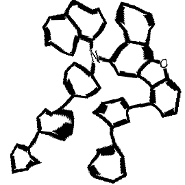 c1ccc(-c2ccc(-c3ccc(N(c4cccc5ccccc45)c4cc5c(oc6cccc(-c7cccc(-c8ccccc8)c7)c65)c5ccccc45)cc3)cc2)cc1